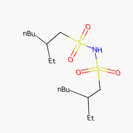 CCCCC(CC)CS(=O)(=O)NS(=O)(=O)CC(CC)CCCC